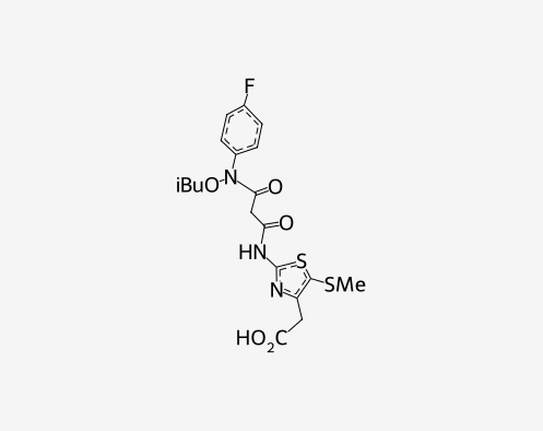 CSc1sc(NC(=O)CC(=O)N(OCC(C)C)c2ccc(F)cc2)nc1CC(=O)O